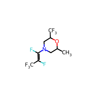 CC1CN(/C(F)=C(\F)C(F)(F)F)CC(C(F)(F)F)O1